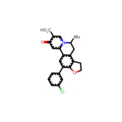 CC(C)(C)C1Cc2c(cc(-c3cccc(Cl)c3)c3c2CCO3)-c2cc(=O)c(C(=O)O)cn21